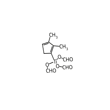 CC1=CC[C]([Ti]([O]C=O)([O]C=O)[O]C=O)=C1C